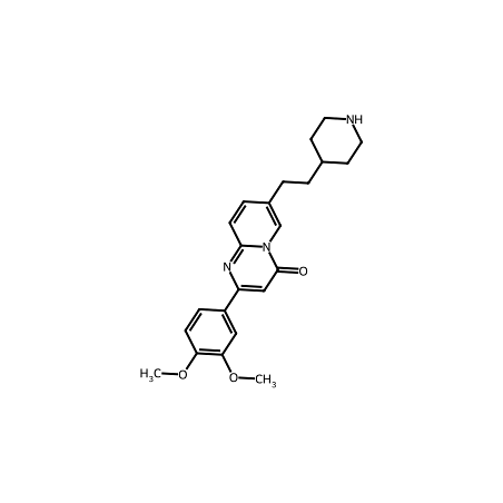 COc1ccc(-c2cc(=O)n3cc(CCC4CCNCC4)ccc3n2)cc1OC